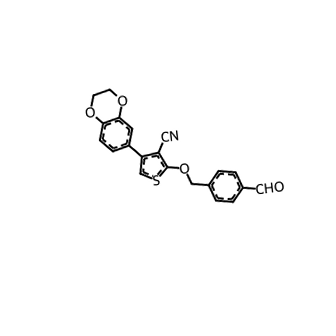 N#Cc1c(-c2ccc3c(c2)OCCO3)csc1OCc1ccc(C=O)cc1